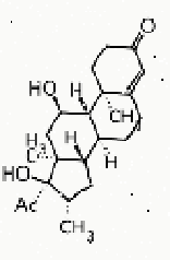 CC(=O)[C@@]1(O)[C@@H](C)C[C@H]2[C@@H]3CCC4=CC(=O)CC[C@]4(C)[C@H]3[C@H](O)C[C@@]21C